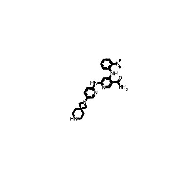 CN(C)c1ccccc1Nc1cc(Nc2ccc(N3CC4(CCNCC4)C3)cn2)ncc1C(N)=O